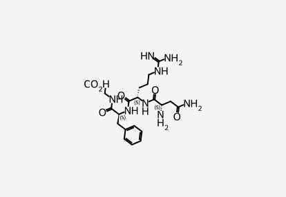 N=C(N)NCCC[C@H](NC(=O)[C@@H](N)CC(N)=O)C(=O)N[C@@H](Cc1ccccc1)C(=O)NCC(=O)O